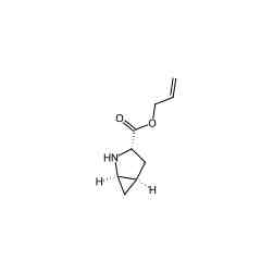 C=CCOC(=O)[C@@H]1C[C@H]2C[C@H]2N1